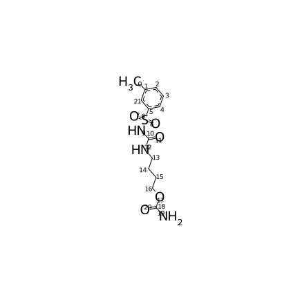 Cc1cccc(S(=O)(=O)NC(=O)NCCCCOC(N)=O)c1